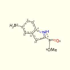 Bc1ccc2[nH]c(C(=O)OC)cc2c1